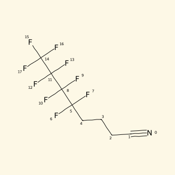 N#CCCCC(F)(F)C(F)(F)C(F)(F)C(F)(F)F